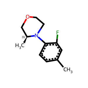 Cc1ccc(N2CCOC[C@@H]2C)c(F)c1